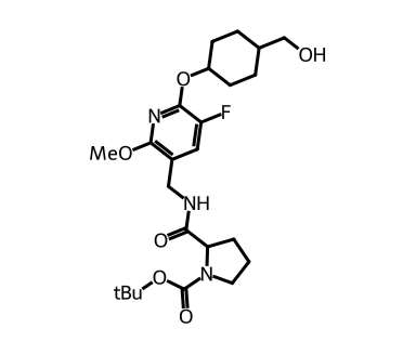 COc1nc(OC2CCC(CO)CC2)c(F)cc1CNC(=O)C1CCCN1C(=O)OC(C)(C)C